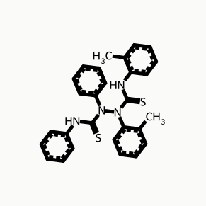 Cc1ccccc1NC(=S)N(c1ccccc1C)N(C(=S)Nc1ccccc1)c1ccccc1